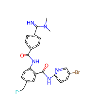 CN(C)C(=N)c1ccc(C(=O)Nc2ccc(CF)cc2C(=O)Nc2ccc(Br)cn2)cc1